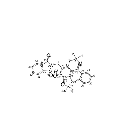 CC1(C)Cc2c(CN3C(=O)c4ccccc4C3=O)c(O)c3c(c2C(c2ccccc2)=N1)CC(C)(C)O3